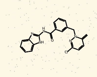 C=C1C=CC(Cl)=NN1Cc1cccc(C(=O)Nc2nc3ccccc3[nH]2)c1